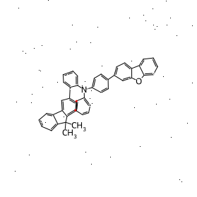 CC1(C)c2ccccc2-c2cc(-c3ccccc3N(c3ccccc3)c3ccc(-c4ccc5c(c4)oc4ccccc45)cc3)ccc21